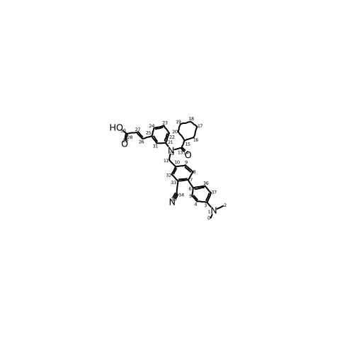 CN(C)c1ccc(-c2ccc(CN(C(=O)C3CCCCC3)c3cccc(C=CC(=O)O)c3)cc2C#N)cc1